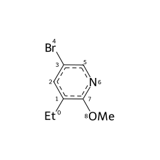 CCc1cc(Br)cnc1OC